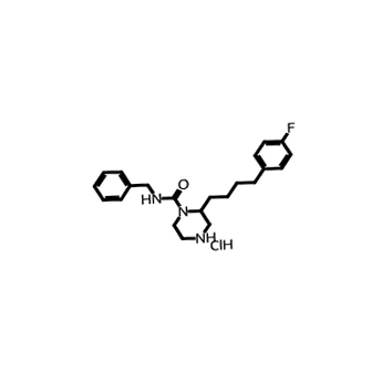 Cl.O=C(NCc1ccccc1)N1CCNCC1CCCCc1ccc(F)cc1